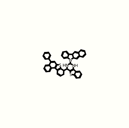 C1=Cc2c(sc3cc(-c4ccccc4)c4ccccc4c23)C(C2NC(N3c4ccccc4C4C=c5ccccc5=CC43)Nc3c2sc2ccccc32)C1